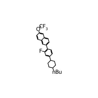 CCCCC1CCC(c2ccc(-c3ccc4cc(OC(F)(F)F)ccc4c3)c(F)c2)CC1